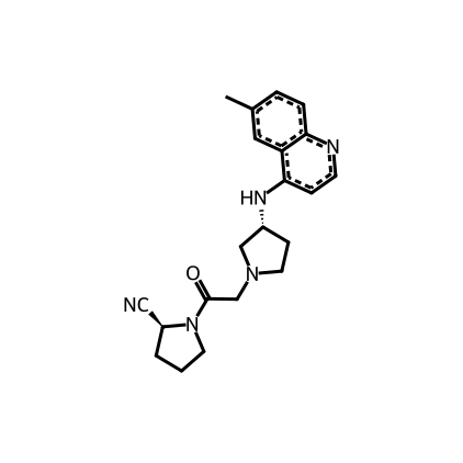 Cc1ccc2nccc(N[C@@H]3CCN(CC(=O)N4CCC[C@H]4C#N)C3)c2c1